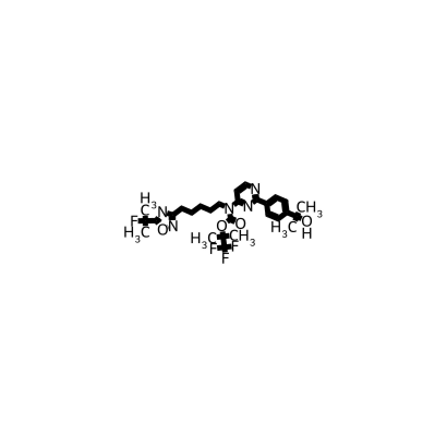 CC(C)(O)c1ccc(-c2nccc(N(CCCCCc3noc(C(C)(C)F)n3)C(=O)OC(C)(C)C(F)(F)F)n2)cc1